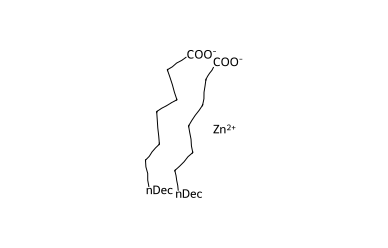 CCCCCCCCCCCCCCCC(=O)[O-].CCCCCCCCCCCCCCCC(=O)[O-].[Zn+2]